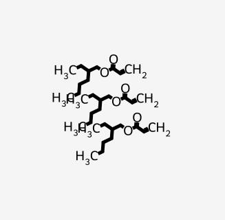 C=CC(=O)OCC(CC)CCCC.C=CC(=O)OCC(CC)CCCC.C=CC(=O)OCC(CC)CCCC